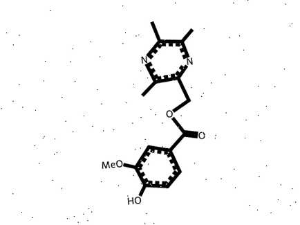 COc1cc(C(=O)OCc2nc(C)c(C)nc2C)ccc1O